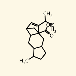 CC(C)C1=CC2CC3C4CCC(C)C4CC2C13C(=O)O